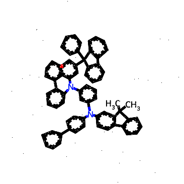 CC1(C)c2ccccc2-c2ccc(N(c3ccc(-c4ccccc4)cc3)c3cccc(N(c4cccc(C5(c6ccccc6)c6ccccc6-c6ccccc65)c4)c4ccccc4-c4ccccc4)c3)cc21